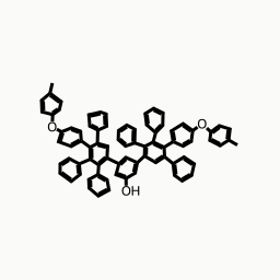 Cc1ccc(Oc2ccc(-c3c(-c4ccccc4)cc(-c4cc(O)cc(-c5cc(-c6ccccc6)c(-c6ccc(Oc7ccc(C)cc7)cc6)c(-c6ccccc6)c5-c5ccccc5)c4)c(-c4ccccc4)c3-c3ccccc3)cc2)cc1